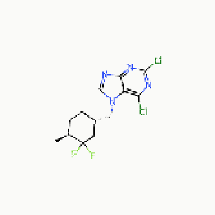 C[C@H]1CC[C@H](Cn2cnc3nc(Cl)nc(Cl)c32)CC1(F)F